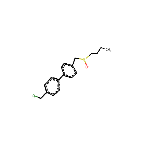 CCCC[S+]([O-])Cc1ccc(-c2ccc(CCl)cc2)cc1